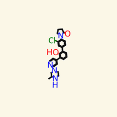 CC1CN(c2cc(-c3cccc(-c4ccc(N5CCCC5=O)c(Cl)c4)c3O)ccn2)CCN1